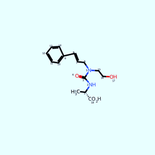 C[C@H](NC(=O)N(C/C=C/c1ccccc1)CCO)C(=O)O